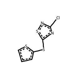 Clc1nsc(Sc2cccs2)n1